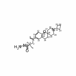 C=C(CC(C)(C)C(=O)NN)c1ccc2c(c1)CCC1(CCN(C3CCC3)CC1)O2